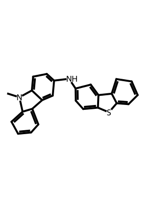 Cn1c2ccccc2c2cc(Nc3ccc4sc5ccccc5c4c3)ccc21